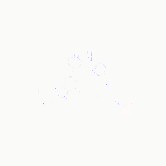 Cc1nc2c(F)cc(-c3cc(Nc4ncc(CN5C[C@@H]6CCN(C(=O)O)C[C@@H]65)cn4)ncc3F)cc2n1C(C)C